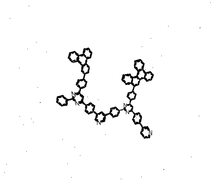 c1ccc(-c2nc(-c3ccc(-c4cncc(-c5ccc(-c6nc(-c7ccc(-c8cccnc8)cc7)cc(-c7ccc(-c8cc9c%10ccccc%10c%10ccccc%10c9c9ccccc89)cc7)n6)cc5)c4)cc3)cc(-c3ccc(-c4ccc5c6ccccc6c6ccccc6c5c4)cc3)n2)cc1